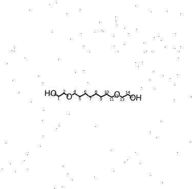 OCCOCCCCCCCCOCCO